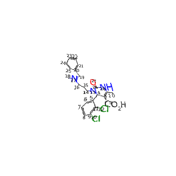 CC1=C(C(=O)O)C(c2cccc(Cl)c2Cl)N(CCCN(C)Cc2ccccc2)C(=O)N1